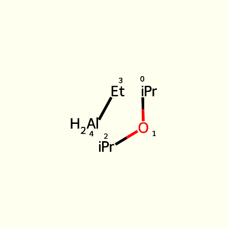 CC(C)OC(C)C.C[CH2][AlH2]